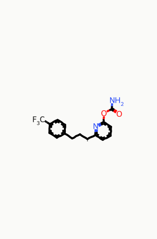 NC(=O)Oc1cccc([CH]CCc2ccc(C(F)(F)F)cc2)n1